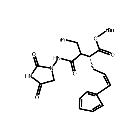 CC(C)CC(C(=O)NN1CC(=O)NC1=O)[C@@H](C/C=C\c1ccccc1)C(=O)OC(C)(C)C